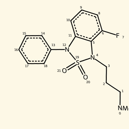 CNCCCN1c2c(F)cccc2N(c2ccccc2)S1(=O)=O